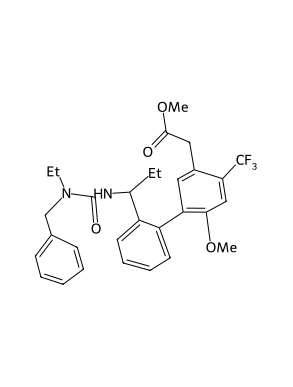 CCC(NC(=O)N(CC)Cc1ccccc1)c1ccccc1-c1cc(CC(=O)OC)c(C(F)(F)F)cc1OC